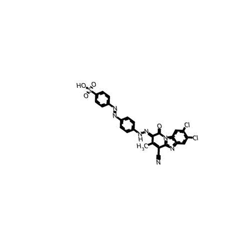 CC1=C(C#N)c2nc3cc(Cl)c(Cl)cc3n2C(=O)/C1=N/Nc1ccc(N=Nc2ccc(S(=O)(=O)O)cc2)cc1